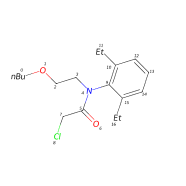 CCCCOCCN(C(=O)CCl)c1c(CC)cccc1CC